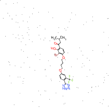 CC(C)CC(=O)c1ccc(OCCCCOc2ccc(-c3nn[nH]n3)c(C(F)(F)F)c2)c(Br)c1O